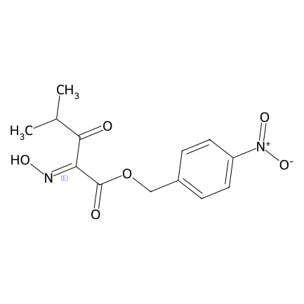 CC(C)C(=O)/C(=N\O)C(=O)OCc1ccc([N+](=O)[O-])cc1